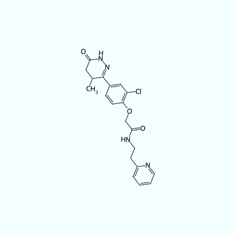 CC1CC(=O)NN=C1c1ccc(OCC(=O)NCCc2ccccn2)c(Cl)c1